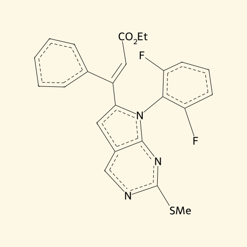 CCOC(=O)C=C(c1ccccc1)c1cc2cnc(SC)nc2n1-c1c(F)cccc1F